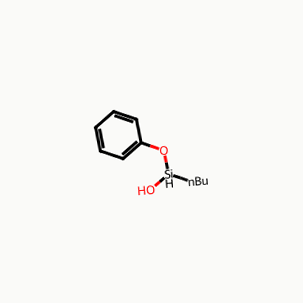 CCCC[SiH](O)Oc1ccccc1